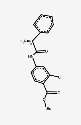 CC(C)(C)OC(=O)c1ccc(NC(=O)[C@@H](N)c2ccccc2)cc1Cl